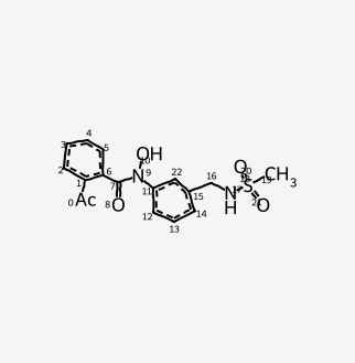 CC(=O)c1ccccc1C(=O)N(O)c1cccc(CNS(C)(=O)=O)c1